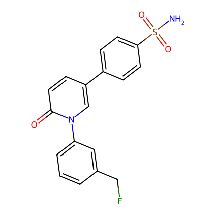 NS(=O)(=O)c1ccc(-c2ccc(=O)n(-c3cccc(CF)c3)c2)cc1